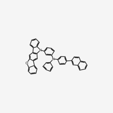 c1ccc(N(c2ccc(-c3ccc4ccccc4c3)cc2)c2cccc(-n3c4ccccc4c4cc5oc6ccccc6c5cc43)c2)cc1